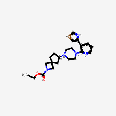 CCOC(=O)N1CC2(CC[C@@H](N3CCN(c4ncccc4-c4cscn4)CC3)C2)C1